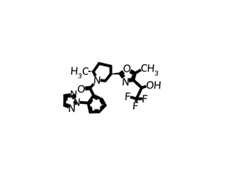 Cc1oc([C@@H]2CC[C@@H](C)N(C(=O)c3ccccc3-n3nccn3)C2)nc1C(O)C(F)(F)F